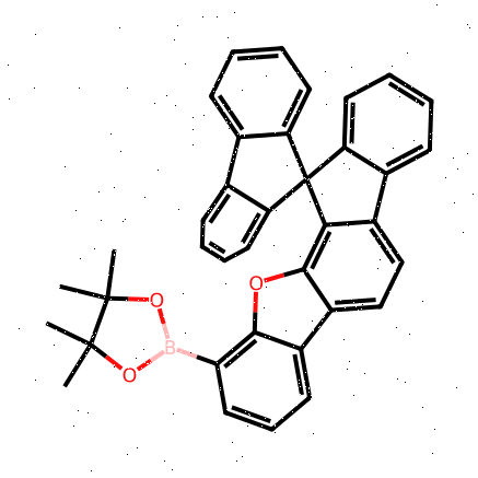 CC1(C)OB(c2cccc3c2oc2c4c(ccc23)-c2ccccc2C42c3ccccc3-c3ccccc32)OC1(C)C